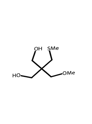 COCC(CO)(CO)CSC